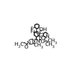 C=CC(=O)N1CCN(c2nc(=O)n(-c3c(C)ccnc3SC(C)C)c3nc(-c4c(O)cccc4F)c(F)cc23)[C@@H](C)C1